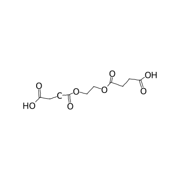 O=C(O)CCC(=O)OCCOC(=O)CCC(=O)O